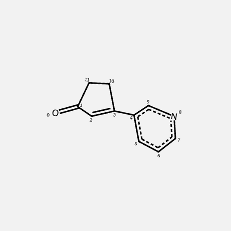 O=C1C=C(c2cccnc2)CC1